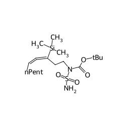 CCCCCC=C=C(CCN(C(=O)OC(C)(C)C)S(N)(=O)=O)[Si](C)(C)C